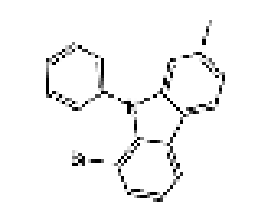 Cc1ccc2c3cccc(Br)c3n(-c3ccccc3)c2c1